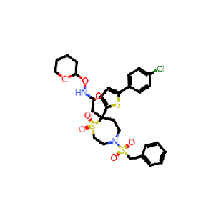 O=C(CC1(c2ccc(-c3ccc(Cl)cc3)s2)CCN(S(=O)(=O)Cc2ccccc2)CCS1(=O)=O)NOC1CCCCO1